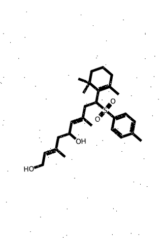 CC1=C(C(C/C(C)=C/C(O)C/C(C)=C/CO)S(=O)(=O)c2ccc(C)cc2)C(C)(C)CCC1